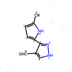 N#Cc1ccc(-c2n[nH]cc2C=O)[nH]1